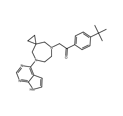 CC(C)(C)c1ccc(C(=O)CN2CCN(c3ncnc4[nH]ccc34)CC3(CC3)C2)cc1